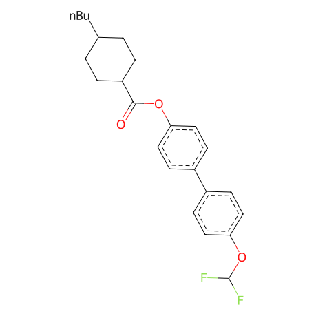 CCCCC1CCC(C(=O)Oc2ccc(-c3ccc(OC(F)F)cc3)cc2)CC1